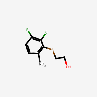 O=[N+]([O-])c1ccc(F)c(Cl)c1SCCO